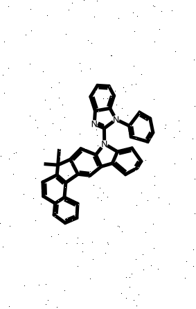 CC1(C)c2cc3c(cc2-c2c1ccc1ccccc21)c1ccccc1n3-c1nc2ccccc2n1-c1ccccc1